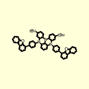 CC(C)(C)c1ccc2c(c1)N(c1ccc(-c3cccc4c3oc3ccccc34)cc1)c1cccc3c1B2c1ccc(C(C)(C)C)cc1N3c1ccc(-c2cccc3c2oc2ccccc23)cc1